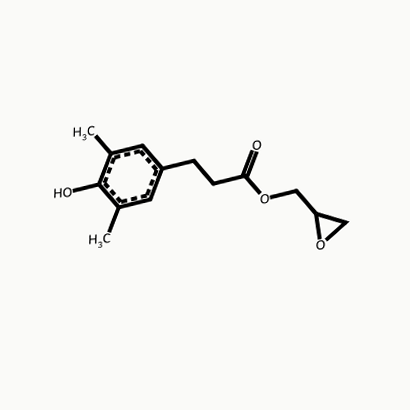 Cc1cc(CCC(=O)OCC2CO2)cc(C)c1O